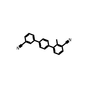 Cc1c(C#N)cccc1-c1ccc(-c2cccc(C#N)c2)cc1